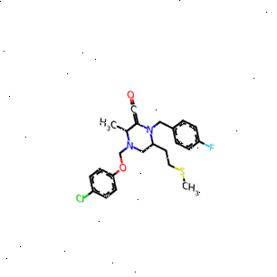 CSCCC1CN(COc2ccc(Cl)cc2)C(C)C(=C=O)N1Cc1ccc(F)cc1